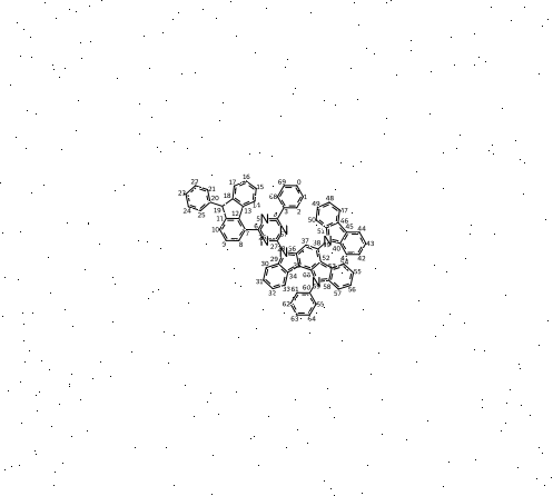 c1ccc(-c2nc(-c3cccc4c3-c3ccccc3C4c3ccccc3)nc(-n3c4ccccc4c4c3cc(-n3c5ccccc5c5ccccc53)c3c5ccccc5n(-c5ccccc5)c34)n2)cc1